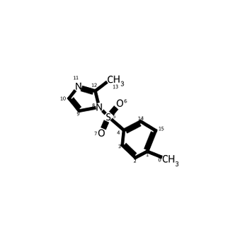 Cc1ccc(S(=O)(=O)n2ccnc2C)cc1